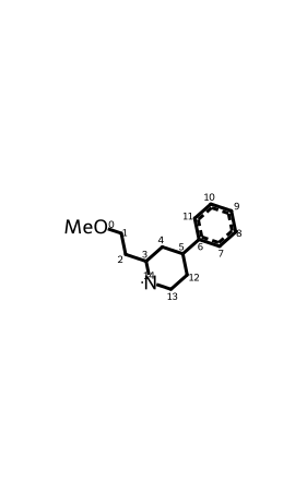 COCCC1CC(c2ccccc2)CC[N]1